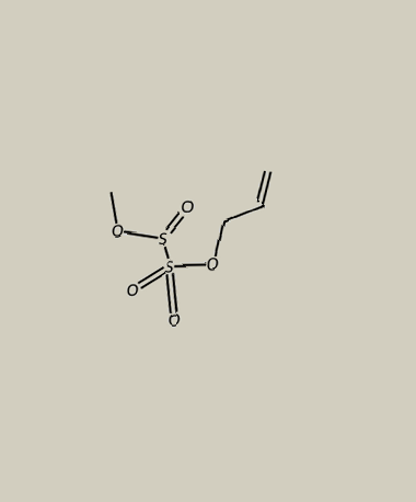 C=CCOS(=O)(=O)S(=O)OC